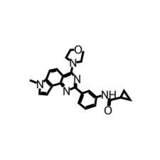 Cn1ccc2c3nc(-c4cccc(NC(=O)C5CC5)c4)nc(N4CCOCC4)c3ccc21